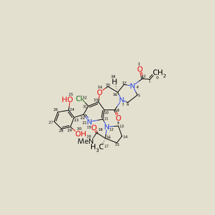 C=CC(=O)N1CCN2C(=O)c3c(N4CCC[C@@]4(C)C(=O)NC)nc(-c4c(O)cccc4O)c(Cl)c3OC[C@H]2C1